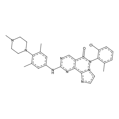 Cc1cc(Nc2ncc3c(=O)n(-c4c(C)cccc4Cl)n4ccnc4c3n2)cc(C)c1N1CCN(C)CC1